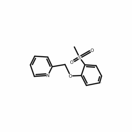 CS(=O)(=O)c1cc[c]cc1OCc1ccccn1